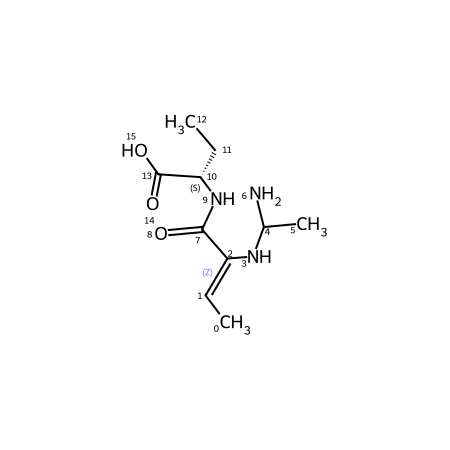 C/C=C(\NC(C)N)C(=O)N[C@@H](CC)C(=O)O